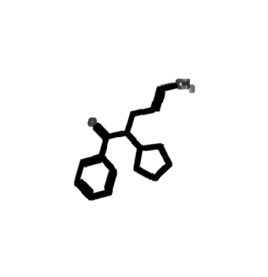 C/C=C/CC(C(=O)c1ccccc1)C1CCCC1